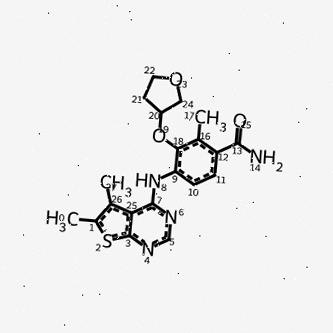 Cc1sc2ncnc(Nc3ccc(C(N)=O)c(C)c3OC3CCOC3)c2c1C